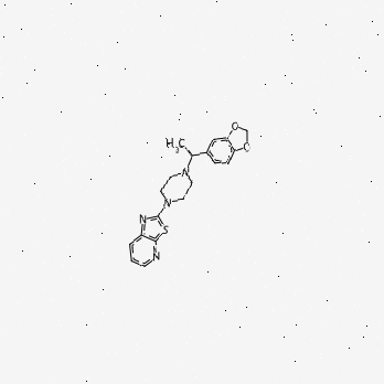 CC(c1ccc2c(c1)OCO2)N1CCN(c2nc3cccnc3s2)CC1